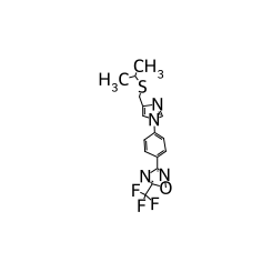 CC(C)SCc1cn(-c2ccc(-c3noc(C(F)(F)F)n3)cc2)cn1